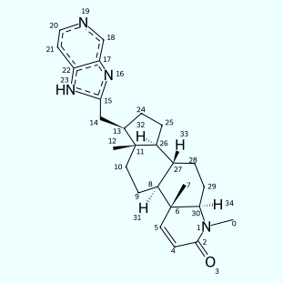 CN1C(=O)C=C[C@]2(C)[C@H]3CC[C@]4(C)[C@@H](Cc5nc6cnccc6[nH]5)CC[C@H]4[C@@H]3CC[C@@H]12